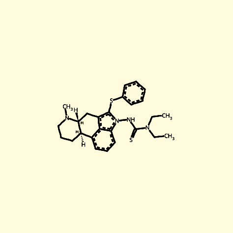 CCN(CC)C(=S)Nn1c(Sc2ccccc2)c2c3c(cccc31)[C@H]1CCCN(C)[C@@H]1C2